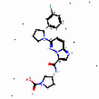 O=C(N[C@@H]1CCN(C(=O)O)C1)c1cnc2ccc(N3CCC[C@@H]3c3cccc(F)c3)nn12